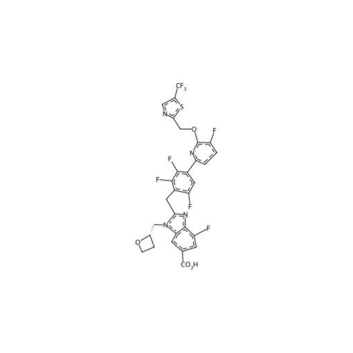 O=C(O)c1cc(F)c2nc(Cc3c(F)cc(-c4ccc(F)c(OCc5ncc(C(F)(F)F)s5)n4)c(F)c3F)n(C[C@@H]3CCO3)c2c1